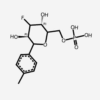 Cc1ccc(C2OC(COP(=O)(O)O)[C@@H](O)C(F)[C@@H]2O)cc1